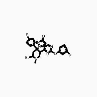 CCC1CC(c2ccc(F)cc2)(n2ccc(=O)[nH]2)C(c2ccnc(Oc3cccc(F)c3)n2)CN1C